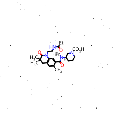 CCC(=O)NCCN1C(=O)C(C)(C)Cc2cc(C(F)(F)F)c(C(=O)N(C(C)C)[C@@H]3CCCN(C(=O)O)C3)cc21